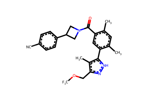 Cc1cc(C)c(-c2[nH]nc(COC(F)(F)F)c2C)cc1C(=O)N1CC(c2ccc(C#N)cc2)C1